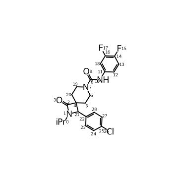 CC(C)N1C(=O)C2(CCN(C(=O)Nc3ccc(F)c(F)c3)CC2)C1c1ccc(Cl)cc1